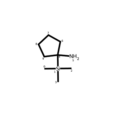 C[Si](C)(C)C1(N)CCCC1